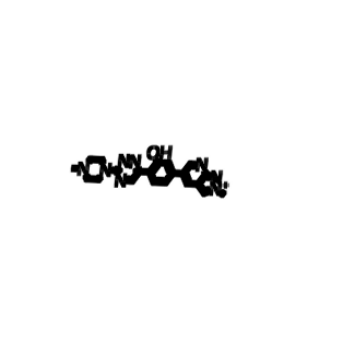 CN1CCN(c2ncc(-c3ccc(C4=CC5C=[N+](C)N=C5N=C4)cc3O)nn2)CC1